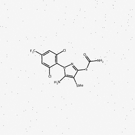 CSc1c(SC(N)=O)nn(-c2c(Cl)cc(C(F)(F)F)cc2Cl)c1N